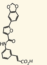 O=C(O)C=Cc1cccc(NC(=O)c2ccc(-c3ccc4c(c3)OCO4)o2)c1